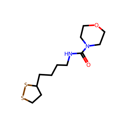 O=C(NCCCCC1CCSS1)N1CCOCC1